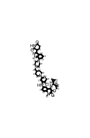 Cn1nc(C2CCC(=O)NC2=O)c2cccc(N3CCN(CC4CCN(c5cc(Nc6ccc7c(c6)c6c(c(=O)n7C)OCC(F)(F)C(C7CC7)N6)c(Cl)cn5)CC4)CC3)c21